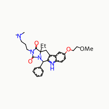 CCC12Cc3c([nH]c4ccc(OCCOC)cc34)C(c3ccccc3)N1C(=O)N(CCCN(C)C)C2=O